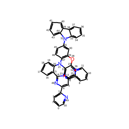 c1ccc(-c2cc(-c3ccccn3)nc(-c3ccccc3N3c4ccccc4Oc4cc(-n5c6ccccc6c6ccccc65)ccc43)n2)nc1